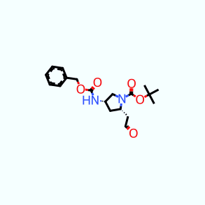 CC(C)(C)OC(=O)N1C[C@@H](NC(=O)OCc2ccccc2)C[C@H]1CC=O